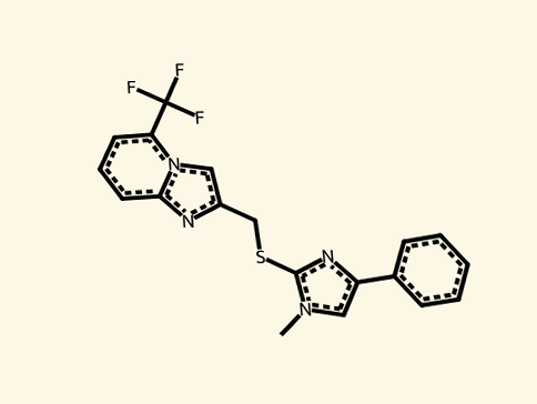 Cn1cc(-c2ccccc2)nc1SCc1cn2c(C(F)(F)F)cccc2n1